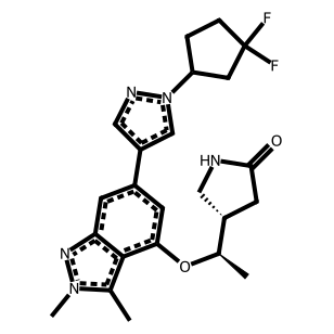 Cc1c2c(O[C@H](C)[C@@H]3CNC(=O)C3)cc(-c3cnn(C4CCC(F)(F)C4)c3)cc2nn1C